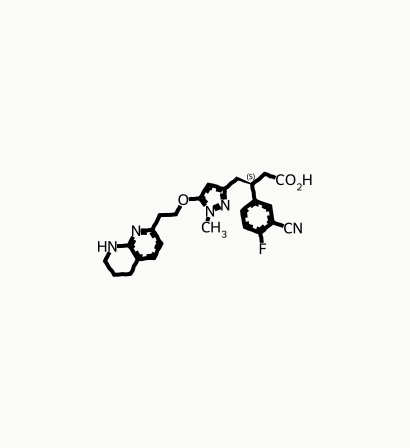 Cn1nc(C[C@@H](CC(=O)O)c2ccc(F)c(C#N)c2)cc1OCCc1ccc2c(n1)NCCC2